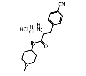 CN1CCC(NC(=O)[C@H](N)Cc2ccc(C#N)cc2)CC1.Cl.Cl